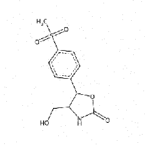 CS(=O)(=O)c1ccc(C2OC(=O)NC2CO)cc1